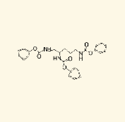 O=C(NCCCC(CCNC(=O)Oc1ccccc1)NC(=O)Oc1ccccc1)Oc1ccccc1